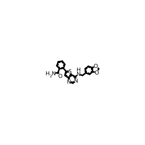 NC(=O)c1ccccc1-c1cc2ncnc(NCc3ccc4c(c3)OCO4)c2s1